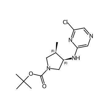 C[C@@H]1CN(C(=O)OC(C)(C)C)C[C@@H]1Nc1cncc(Cl)n1